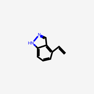 C=Cc1cccc2[nH]ncc12